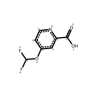 O=C(O)c1cc(OC(F)F)ccn1